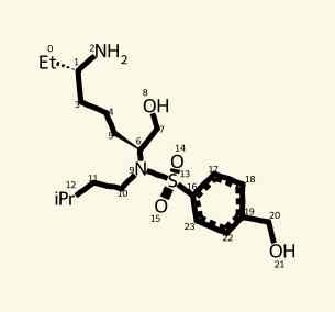 CC[C@H](N)CCC[C@@H](CO)N(CCC(C)C)S(=O)(=O)c1ccc(CO)cc1